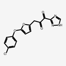 O=C(Cc1ccc(Oc2ccc(Cl)cc2)o1)C(=O)c1nc[nH]n1